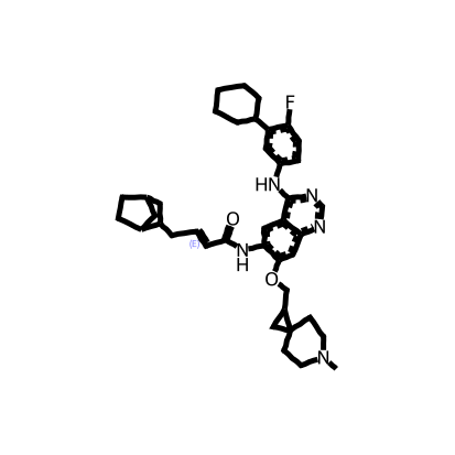 CN1CCC2(CC1)CC2COc1cc2ncnc(Nc3ccc(F)c(C4CCCCC4)c3)c2cc1NC(=O)/C=C/CC1CC2CCC1C2